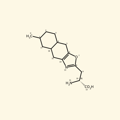 CC1CCC2Cc3oc(C[C@@H](N)C(=O)O)nc3CC2C1